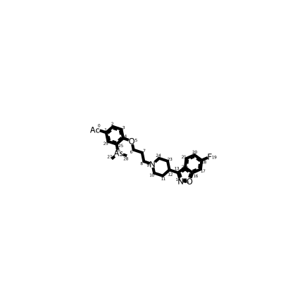 CC(=O)c1ccc(OCCCN2CCC(c3noc4cc(F)ccc34)CC2)c([As](C)C)c1